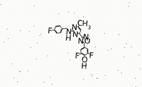 Cc1cc(-c2noc(-c3cc(F)c(O)c(F)c3)n2)nc(NCc2ccc(F)cc2)n1